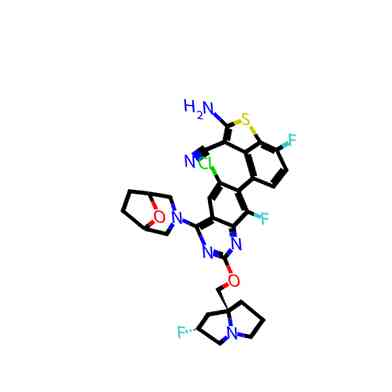 N#Cc1c(N)sc2c(F)ccc(-c3c(Cl)cc4c(N5CC6CCC(C5)O6)nc(OC[C@@]56CCCN5C[C@H](F)C6)nc4c3F)c12